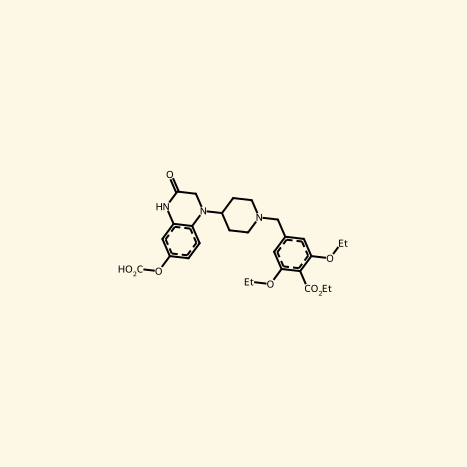 CCOC(=O)c1c(OCC)cc(CN2CCC(N3CC(=O)Nc4cc(OC(=O)O)ccc43)CC2)cc1OCC